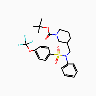 CC(C)(C)OC(=O)N1CCCC(CN(c2ccccc2)S(=O)(=O)c2ccc(OC(F)(F)F)cc2)C1